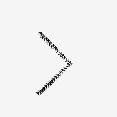 [Pb].[Pb].[Pb].[Pb].[Pb].[Pb].[Pb].[Pb].[Pb].[Pb].[Pb].[Pb].[Pb].[Pb].[Pb].[Pb].[Pb].[Pb].[Zr].[Zr].[Zr].[Zr].[Zr].[Zr].[Zr].[Zr].[Zr].[Zr].[Zr].[Zr].[Zr].[Zr].[Zr].[Zr].[Zr]